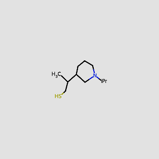 CC(CS)C1CCCN(C(C)C)C1